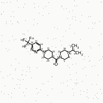 CC(C)N1CCN(C(=O)C2CCN(c3ccc(C(F)(F)F)nn3)CC2)CC1